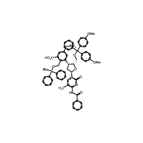 COc1ccc(C(OC[C@@H]2O[C@@H](n3cc(C)c(NC(=O)c4ccccc4)nc3=O)C[C@H]2c2cc(CN)cc(C(=O)O)c2CO[Si](c2ccccc2)(c2ccccc2)C(C)(C)C)(c2ccccc2)c2ccc(OC)cc2)cc1